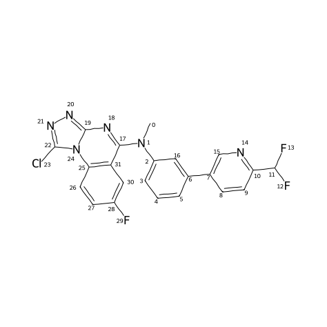 CN(c1cccc(-c2ccc(C(F)F)nc2)c1)c1nc2nnc(Cl)n2c2ccc(F)cc12